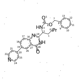 CC(C)CC(NC(=O)OCc1ccccc1)c1nc2ccc(-c3ccncc3)cc2c(=O)[nH]1